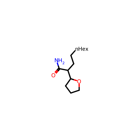 CCCCCCCCC(C(N)=O)C1CCCO1